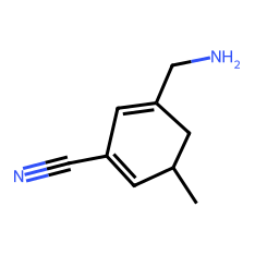 CC1C=C(C#N)C=C(CN)C1